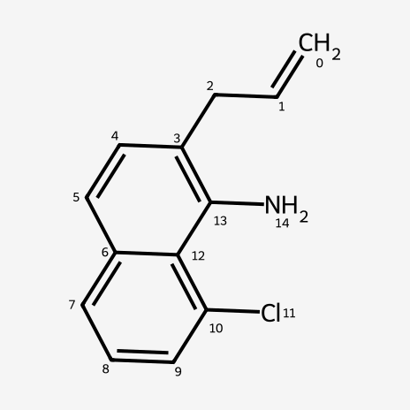 C=CCc1ccc2cccc(Cl)c2c1N